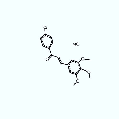 COc1cc(C=CC(=O)c2ccc(Cl)cc2)cc(OC)c1OC.Cl